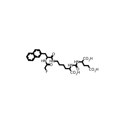 O=C(O)CCC(NC(=O)NC(CCCCNC(=O)C(Cc1ccc2ccccc2c1)NC(=O)CF)C(=O)O)C(=O)O